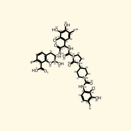 O=C(O)c1c(F)ccc2c1OB(O)[C@@H](NC(=O)C(NC(=O)N1CCN(C3CCN(C(=O)Nc4ccc(F)c(O)c4Cl)CC3)C1=O)c1cc(F)c(O)c(O)c1Cl)C2